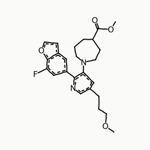 COCCCc1cnc(-c2cc(F)c3occc3c2)c(N2CCCC(C(=O)OC)CC2)c1